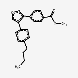 CCCCc1ccc(-c2conc2-c2ccc(C(=O)OC)cc2)cc1